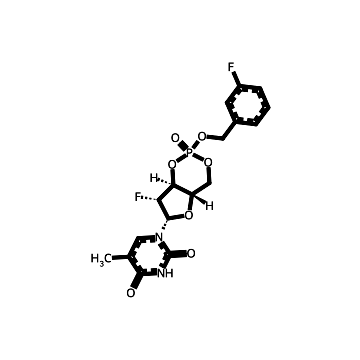 Cc1cn([C@H]2O[C@H]3COP(=O)(OCc4cccc(F)c4)O[C@@H]3[C@H]2F)c(=O)[nH]c1=O